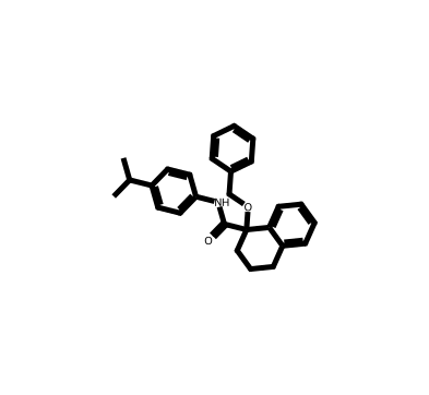 CC(C)c1ccc(NC(=O)C2(OCc3ccccc3)CCCc3ccccc32)cc1